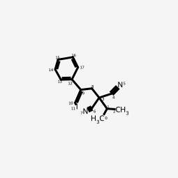 CC(C)C(C#N)(C#N)C/C(=C\I)c1ccccc1